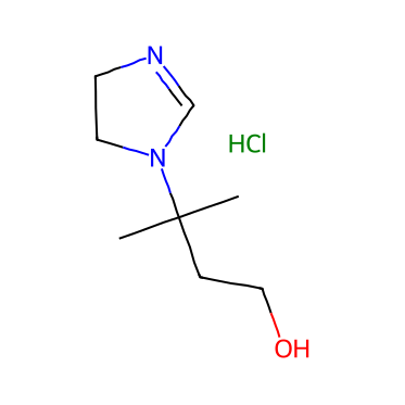 CC(C)(CCO)N1C=NCC1.Cl